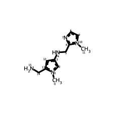 Cn1cc(NCc2nccn2C)cc1CN